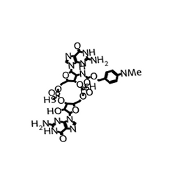 CNc1ccc(COC(=O)NC2C3OP(=O)(S)OCC4OC(n5cnc6c(=O)[nH]c(N)nc65)C(O)C4OP(=O)(S)OCC3OC2n2cnc3c(=O)[nH]c(N)nc32)cc1